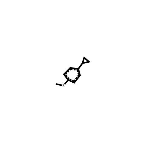 CSc1ccc(C2CC2)cc1